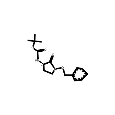 CC(C)(C)OC(=O)N[C@@H]1CCN(OCc2ccccc2)C1=O